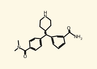 CN(C)C(=O)c1ccc(C(=C2CCNCC2)c2cccc(C(N)=O)c2)cc1